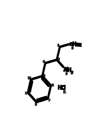 CCCCCCC[CH]([AlH2])Cc1ccccc1.Cl